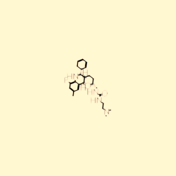 Cc1cc(F)c2c(c1)[C@H]1O[C@@H](CNC(=O)NCCN(C)C)CC[C@H]1[C@H](C1C=CC=CC1)N2